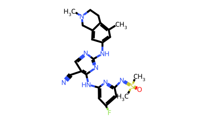 Cc1cc(Nc2ncc(C#N)c(Nc3cc(F)cc(N=S(C)(C)=O)n3)n2)cc2c1CCN(C)C2